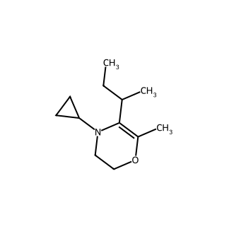 CCC(C)C1=C(C)OCCN1C1CC1